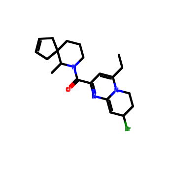 CCC1=CC(C(=O)N2CCCC3(CC=CC3)C2C)=NC2=CC(Br)CCN12